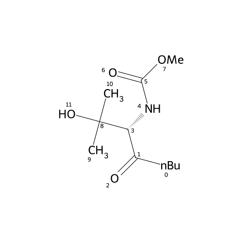 CCCCC(=O)[C@@H](NC(=O)OC)C(C)(C)O